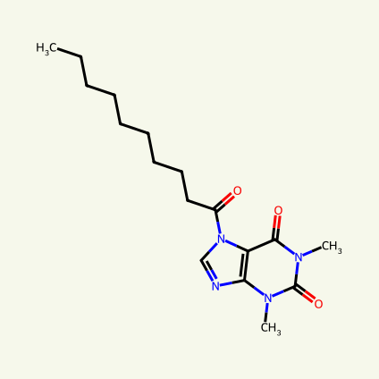 CCCCCCCCCC(=O)n1cnc2c1c(=O)n(C)c(=O)n2C